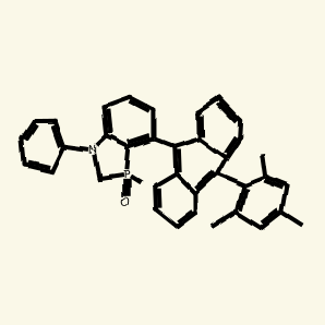 Cc1cc(C)c(-c2c3ccccc3c(-c3cccc4c3P(C)(=O)CN4c3ccccc3)c3ccccc23)c(C)c1